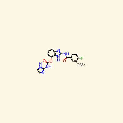 COc1cc(C(=O)Nc2nc3cccc(OC(=O)Nc4ncc[nH]4)c3[nH]2)ccc1F